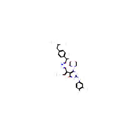 Cc1ccc(Nc2nc(N3CCOCC3)c3c(-c4nnc(C(C)c5ccc(CC(C)C)cc5)o4)c(C)oc3n2)cc1Cl